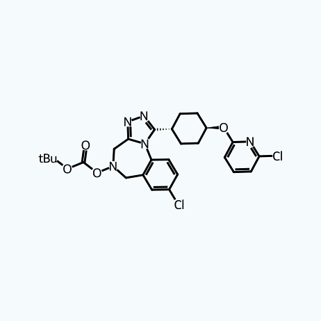 CC(C)(C)OC(=O)ON1Cc2cc(Cl)ccc2-n2c(nnc2[C@H]2CC[C@H](Oc3cccc(Cl)n3)CC2)C1